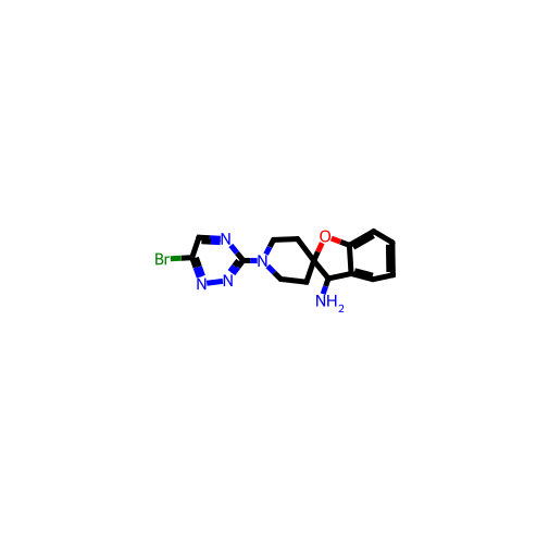 NC1c2ccccc2OC12CCN(c1ncc(Br)nn1)CC2